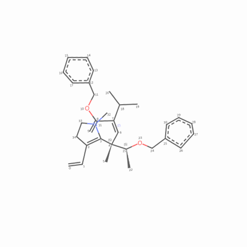 C=CC1=C([C@](C)(/C=C(\C(=C)OCc2ccccc2)C(C)C)[C@H](C)OCc2ccccc2)N(C)CC1